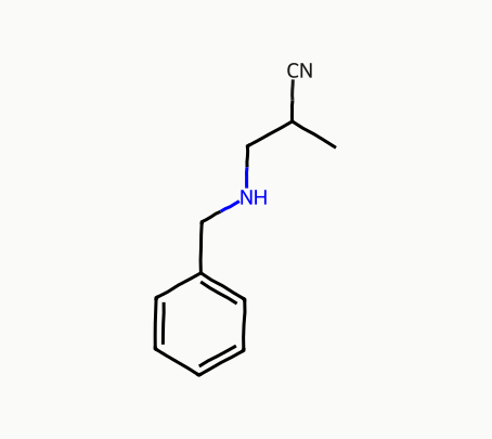 CC(C#N)CNCc1ccccc1